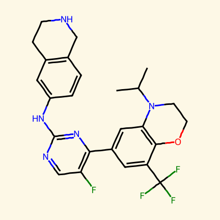 CC(C)N1CCOc2c1cc(-c1nc(Nc3ccc4c(c3)CCNC4)ncc1F)cc2C(F)(F)F